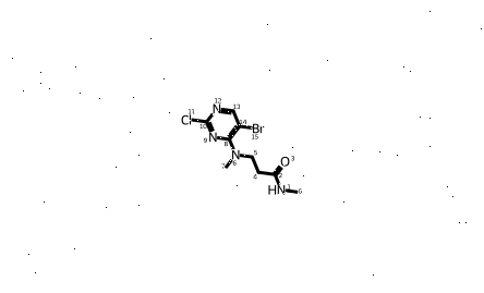 CNC(=O)CCN(C)c1nc(Cl)ncc1Br